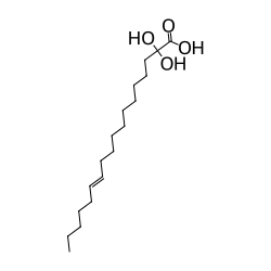 CCCCCC=CCCCCCCCCCC(O)(O)C(=O)O